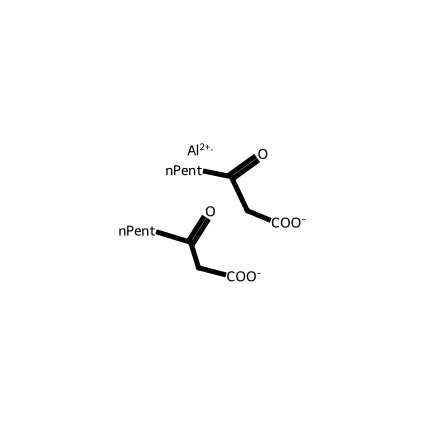 CCCCCC(=O)CC(=O)[O-].CCCCCC(=O)CC(=O)[O-].[Al+2]